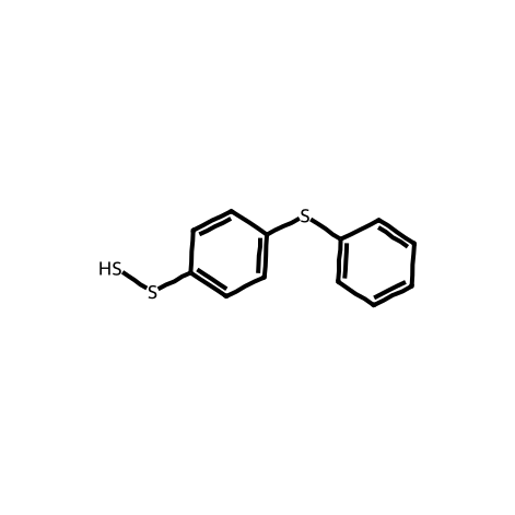 SSc1ccc(Sc2ccccc2)cc1